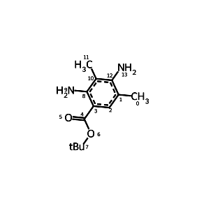 Cc1cc(C(=O)OC(C)(C)C)c(N)c(C)c1N